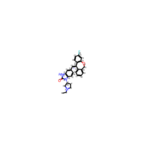 CCN1CC[C@@H](n2c(=O)[nH]c3cc(/C=C4\c5ccccc5COc5cc(F)ccc54)ccc32)C1